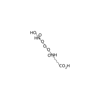 O=C(O)CCCCCCCNC(=O)CCOCCOCCOCCNC(=O)CCO